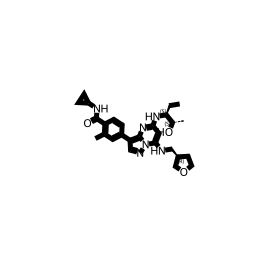 CC[C@H](Nc1cc(NC[C@H]2CCOC2)n2ncc(-c3ccc(C(=O)NC4CC4)c(C)c3)c2n1)[C@H](C)O